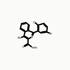 CCC(C)c1c(C(=O)NC)nc(-c2cc(Br)ccc2Cl)c2ccccc12